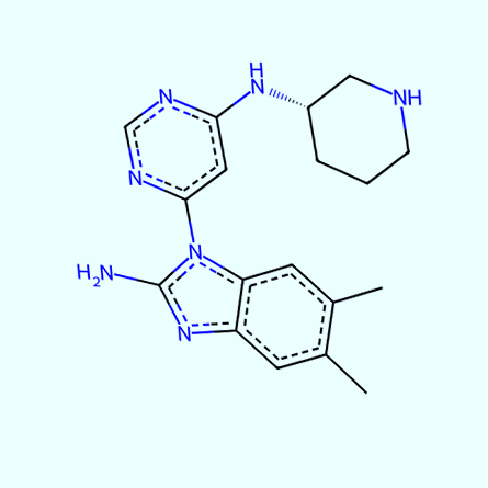 Cc1cc2nc(N)n(-c3cc(N[C@H]4CCCNC4)ncn3)c2cc1C